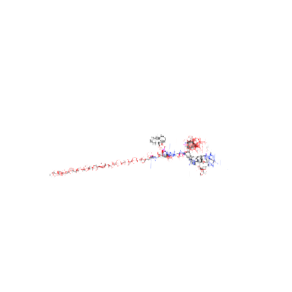 CCCCc1nc2c(N)nc3cc(C(=O)OC)ccc3c2n1Cc1ccc(C[N+](C)(C)Cc2ccc(O[C@@H]3O[C@H](C(=O)O)[C@@H](O)[C@H](O)[C@H]3O)c(NC(=O)CCNC(=O)[C@H](CCCCNC(=O)CCOCCOCCOCCOCCOCCOCCOCCOCCOCCOCCOCCOC)NC(=O)OCC3c4ccccc4-c4ccccc43)c2)cc1